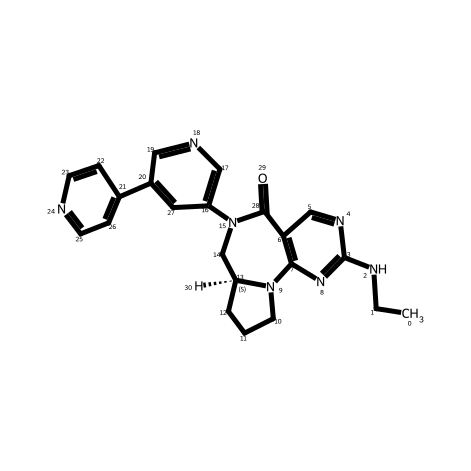 CCNc1ncc2c(n1)N1CCC[C@H]1CN(c1cncc(-c3ccncc3)c1)C2=O